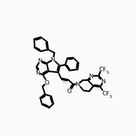 O=C(/C=C/c1c(-c2ccccc2)n(Cc2ccccc2)c2ncnc(OCc3ccccc3)c12)N1CCc2c(nc(C(F)(F)F)nc2C(F)(F)F)C1